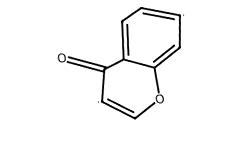 O=c1[c]coc2c[c]ccc12